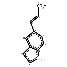 O=C(O)/C=C/c1ccc2occc2c1